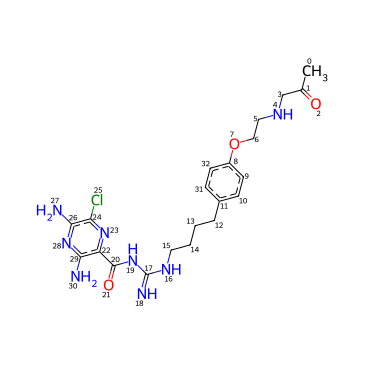 CC(=O)CNCCOc1ccc(CCCCNC(=N)NC(=O)c2nc(Cl)c(N)nc2N)cc1